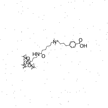 C[N+](C)(CCCCCC(=O)NCCC[Si](O[Si](C)(C)C)(O[Si](C)(C)C)O[Si](C)(C)C)CCCCc1ccc(C(=O)O)cc1